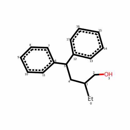 CCC(CO)CC(c1ccccc1)c1ccccc1